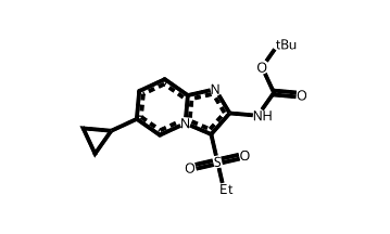 CCS(=O)(=O)c1c(NC(=O)OC(C)(C)C)nc2ccc(C3CC3)cn12